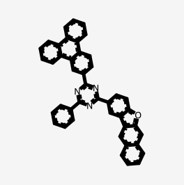 c1ccc(-c2nc(-c3ccc4oc5cc6ccccc6cc5c4c3)nc(-c3ccc4c5ccccc5c5ccccc5c4c3)n2)cc1